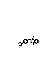 Cn1cc(-c2ccc(Cn3cnc4ccccc4c3=O)cc2)cn1